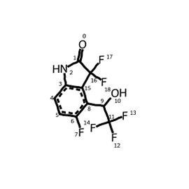 O=C1Nc2ccc(F)c(C(O)C(F)(F)F)c2C1(F)F